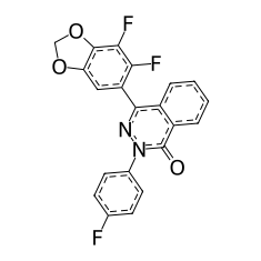 O=c1c2ccccc2c(-c2cc3c(c(F)c2F)OCO3)nn1-c1ccc(F)cc1